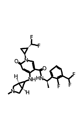 C[C@@H](NC(=O)c1cn([C@H]2C[C@@H]2C(F)F)c(=O)cc1NC1[C@H]2CN(C)C[C@@H]12)c1cccc(C(F)F)c1F